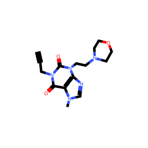 C#CCn1c(=O)c2c(ncn2C)n(CCN2CCOCC2)c1=O